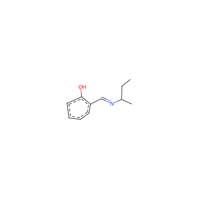 CCC(C)/N=C/c1ccccc1O